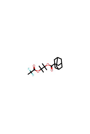 CC(F)(F)C(=O)OC(C)(C)C(C)(C)OC(=O)C12CC3CC(CC(C3)C1)C2